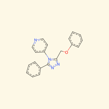 c1ccc(OCc2nnc(-c3ccccc3)n2-c2ccncc2)cc1